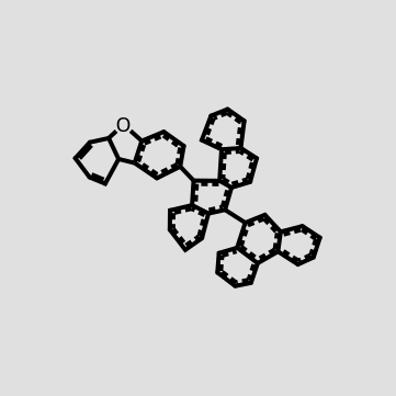 C1=CC2Oc3ccc(-c4c5ccccc5c(-c5cc6ccccc6c6ccccc56)c5ccc6ccccc6c45)cc3C2C=C1